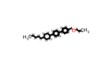 C=CCOCc1ccc(-c2ccc(C3CCC(CCCCC)CC3)cc2)cc1